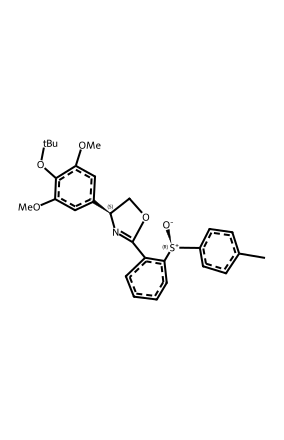 COc1cc([C@H]2COC(c3ccccc3[S@@+]([O-])c3ccc(C)cc3)=N2)cc(OC)c1OC(C)(C)C